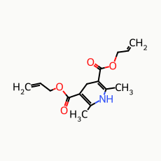 C=CCOC(=O)C1=C(C)NC(C)=C(C(=O)OCC=C)C1